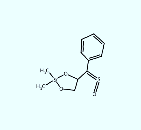 C[Si]1(C)OCC(C(=S=O)c2ccccc2)O1